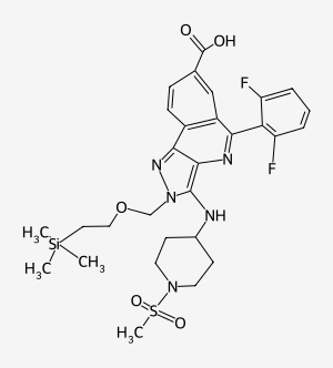 C[Si](C)(C)CCOCn1nc2c(nc(-c3c(F)cccc3F)c3cc(C(=O)O)ccc32)c1NC1CCN(S(C)(=O)=O)CC1